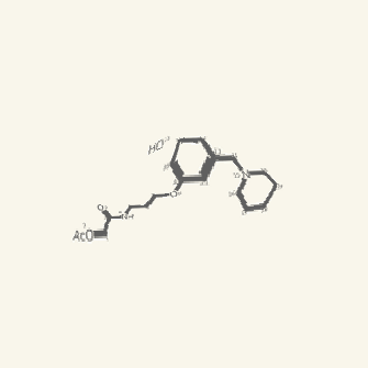 CC(=O)OCC(=O)NCCCOc1cccc(CN2CCCCC2)c1.Cl